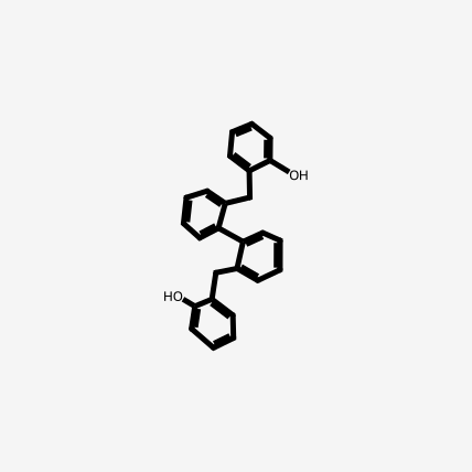 Oc1ccccc1Cc1ccccc1-c1ccccc1Cc1ccccc1O